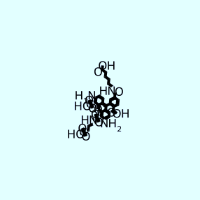 Nc1ccc2c(-c3cc(C(=O)NCCCCCC(=O)O)ccc3C(=O)O)c3ccc(N)c(S(=O)(=O)NCCCS(=O)(=O)O)c3[o+]c2c1S(=O)(=O)O